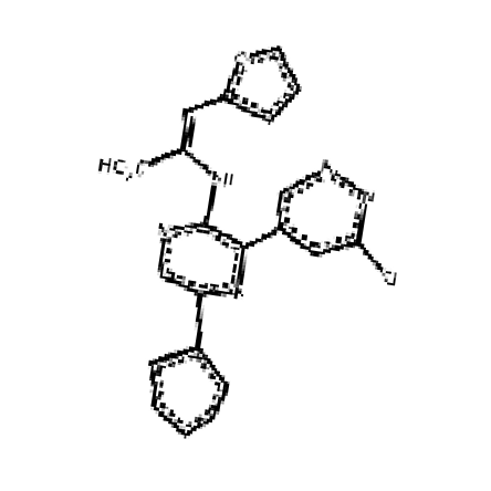 O=C(O)/C(=C/c1ccco1)Nc1ncc(-c2ccccc2)nc1-c1cnnc(Cl)c1